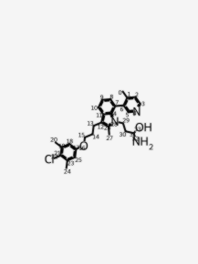 Cc1ccncc1-c1cccc2c(CCCOc3cc(C)c(Cl)c(C)c3)c(C)n(CCC(N)O)c12